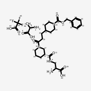 CC(N)C(=O)O.NC(CNC(=O)[C@@H]1CCCN(C(=O)CCC2CCN(C(=O)OCc3ccccc3)CC2)C1)C(=O)O.O=C(O)C(F)(F)F